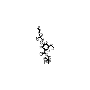 C=CCOC(=O)COc1cc(CC)cc(C(=O)SCC(F)(F)F)c1